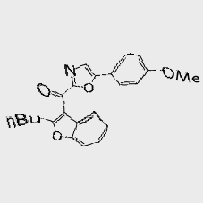 CCCCc1oc2ccccc2c1C(=O)c1ncc(-c2ccc(OC)cc2)o1